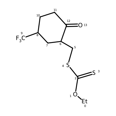 CCOC(=S)SCC1CC(C(F)(F)F)CCC1=O